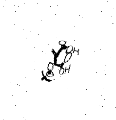 CC(C(=O)O)=C(OOC(C)(C)C)C(=O)O